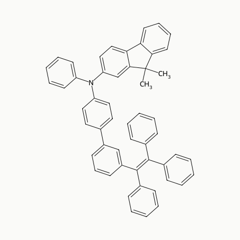 CC1(C)c2ccccc2-c2ccc(N(c3ccccc3)c3ccc(-c4cccc(C(=C(c5ccccc5)c5ccccc5)c5ccccc5)c4)cc3)cc21